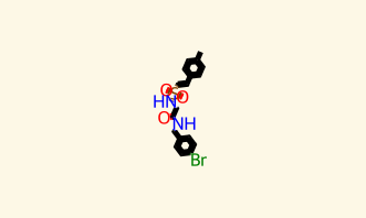 Cc1ccc(C=CS(=O)(=O)NCC(=O)NCc2ccc(Br)cc2)cc1